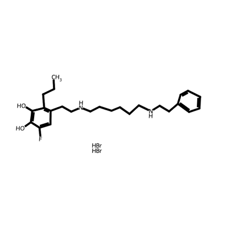 Br.Br.CCCc1c(CCNCCCCCCNCCc2ccccc2)cc(F)c(O)c1O